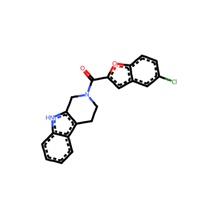 O=C(c1cc2cc(Cl)ccc2o1)N1CCc2c([nH]c3ccccc23)C1